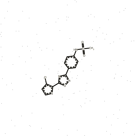 CS(=O)(=O)Nc1ccc(-c2noc(-c3sccc3Cl)n2)cc1